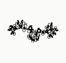 C=CC(=O)OCC(COCC(COC(=O)C=C)(COC(=O)C=C)COC(=O)NCC1CC(C)(C)CC(C)(NC(=O)OCC(F)(F)OC(C)(C)C(F)(F)C(F)(F)OC(C)(C)CC(F)(F)OC(=O)NC2CC(C)(C)CC(C)(NC(=O)OCC(COC(=O)C=C)(COC(=O)C=C)OCC(COC(=O)C=C)(COC(=O)C=C)COC(=O)C=C)C2)C1)(COC(=O)C=C)COC(=O)C=C